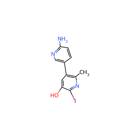 Cc1nc(I)c(O)cc1-c1ccc(N)nc1